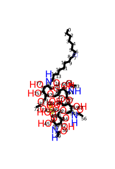 CCCCCC/C=C\CCCCCCCC(=O)NC1C(O[C@@H]2C(CO)OC(O[C@@H]3C(CO)OC(O[C@@H]4C(COS(=O)(=O)O)OC(O)C(NC(C)=O)C4O)C(NC(C)=O)C3O)C(NC(C)=O)C2O)OC(COC(C)=O)[C@@H](O)C1O